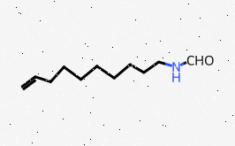 C=CCCCCCCCCNC=O